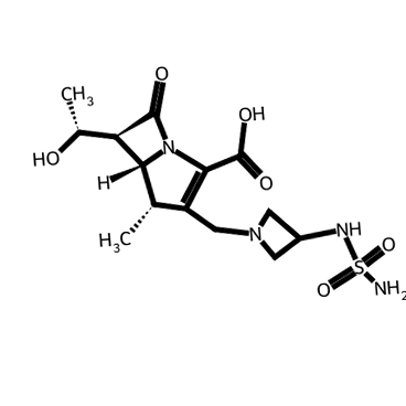 C[C@@H](O)[C@H]1C(=O)N2C(C(=O)O)=C(CN3CC(NS(N)(=O)=O)C3)[C@H](C)[C@H]12